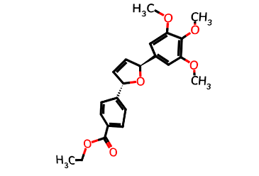 CCOC(=O)c1ccc([C@@H]2C=C[C@@H](c3cc(OC)c(OC)c(OC)c3)O2)cc1